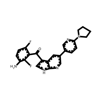 Nc1ccc(F)c(C(=O)c2c[nH]c3ncc(-c4ccc(N5CCCC5)nc4)cc23)c1F